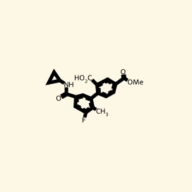 COC(=O)c1ccc(-c2cc(C(=O)NC3CC3)cc(F)c2C)c(C(=O)O)c1